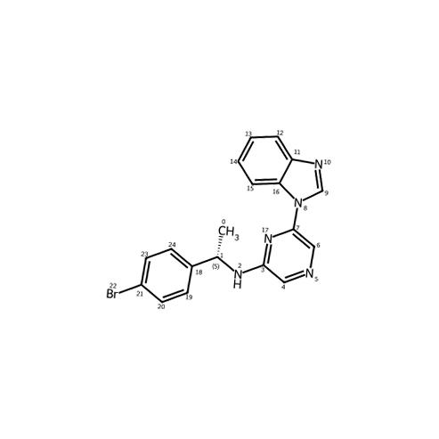 C[C@H](Nc1cncc(-n2cnc3ccccc32)n1)c1ccc(Br)cc1